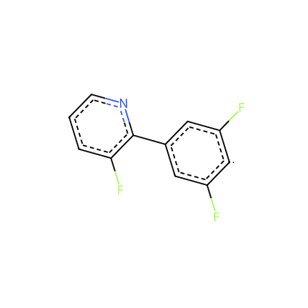 Fc1[c]c(F)cc(-c2ncccc2F)c1